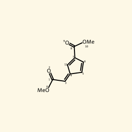 COC(=O)/C=C1/C=CC(C(=O)OC)=C1